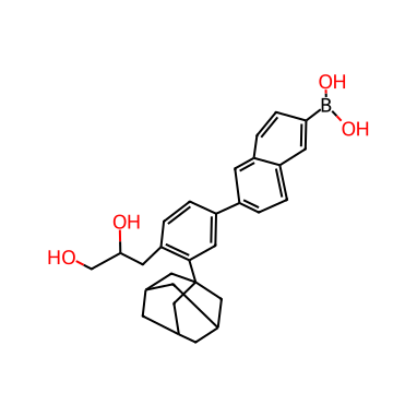 OCC(O)Cc1ccc(-c2ccc3cc(B(O)O)ccc3c2)cc1C12CC3CC(CC(C3)C1)C2